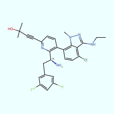 CCNc1nn(C)c2c(-c3ccc(C#CC(C)(C)O)nc3[C@@H](N)Cc3cc(F)cc(F)c3)ccc(Cl)c12